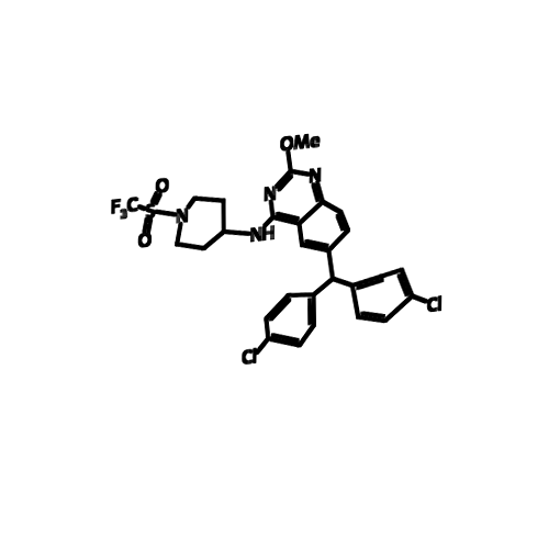 COc1nc(NC2CCN(S(=O)(=O)C(F)(F)F)CC2)c2cc(C(c3ccc(Cl)cc3)c3ccc(Cl)cc3)ccc2n1